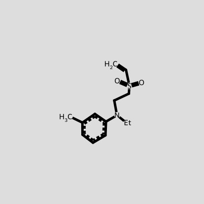 C=CS(=O)(=O)CCN(CC)c1cccc(C)c1